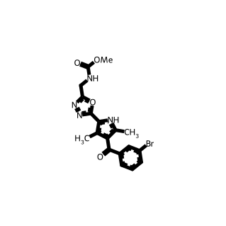 COC(=O)NCc1nnc(-c2[nH]c(C)c(C(=O)c3cccc(Br)c3)c2C)o1